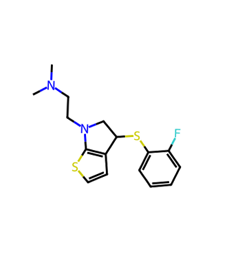 CN(C)CCN1CC(Sc2ccccc2F)c2ccsc21